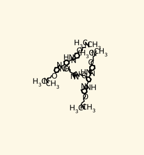 CN(C)CCCOc1ccc2nc(-c3ccc(-c4nc5ccc(OCCCN(C)C)cc5[nH]4)c(OCCc4cn(CCOc5cc(-c6nc7ccc(OCCCN(C)C)cc7[nH]6)ccc5-c5nc6ccc(OCCCN(C)C)cc6[nH]5)nn4)c3)[nH]c2c1